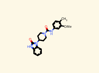 COc1cc(NC(=O)N2CCC(n3c(=O)[nH]c4ccccc43)CC2)ccc1C